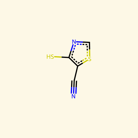 N#Cc1scnc1S